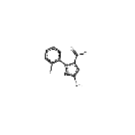 Cc1cc(C(=O)O)n(-c2ccccc2Cl)n1